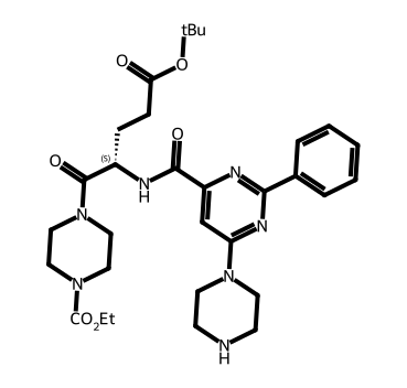 CCOC(=O)N1CCN(C(=O)[C@H](CCC(=O)OC(C)(C)C)NC(=O)c2cc(N3CCNCC3)nc(-c3ccccc3)n2)CC1